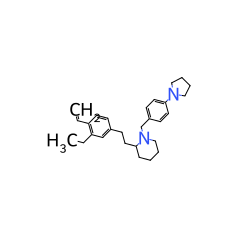 C=Cc1ccc(CCC2CCCCN2Cc2ccc(N3CCCC3)cc2)cc1CC